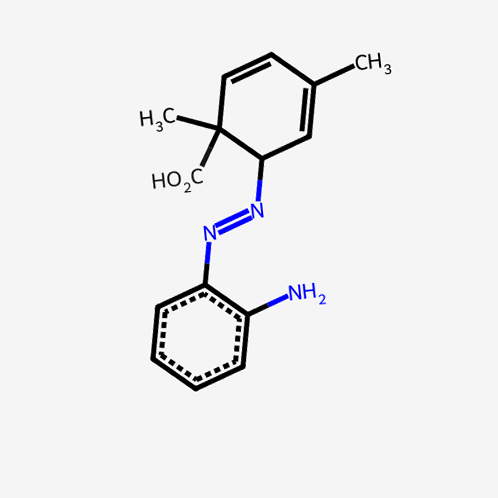 CC1=CC(N=Nc2ccccc2N)C(C)(C(=O)O)C=C1